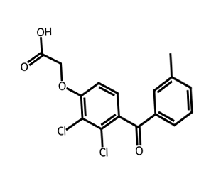 Cc1cccc(C(=O)c2ccc(OCC(=O)O)c(Cl)c2Cl)c1